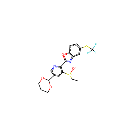 CC[S+]([O-])c1cc(C2OCCCO2)cnc1-c1nc2cc(SC(F)(F)F)ccc2o1